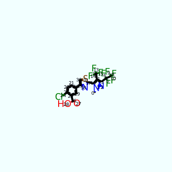 Cn1nc(C(F)(F)C(F)(F)F)c(C(F)(F)F)c1-c1nc(-c2ccc(Cl)c(C(=O)O)c2)cs1